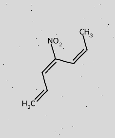 C=C/C=C(\C=C/C)[N+](=O)[O-]